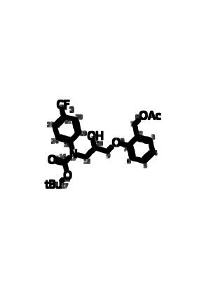 CC(=O)OCc1ccccc1OCC(O)CN(C(=O)OC(C)(C)C)c1ccc(C(F)(F)F)cc1